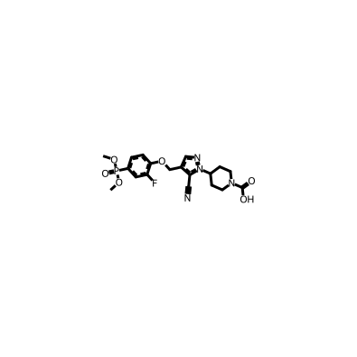 COP(=O)(OC)c1ccc(OCc2cnn(C3CCN(C(=O)O)CC3)c2C#N)c(F)c1